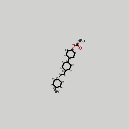 CCCCC(=O)OC1CCC(C2CCC(CC[C@H]3CC[C@H](CCC)CC3)CC2)CC1